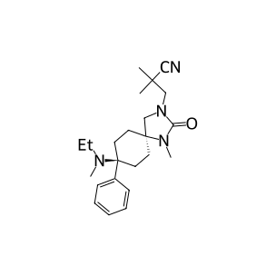 CCN(C)[C@]1(c2ccccc2)CC[C@]2(CC1)CN(CC(C)(C)C#N)C(=O)N2C